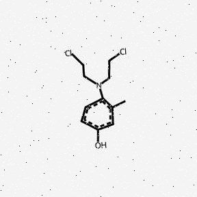 Cc1cc(O)ccc1N(CCCl)CCCl